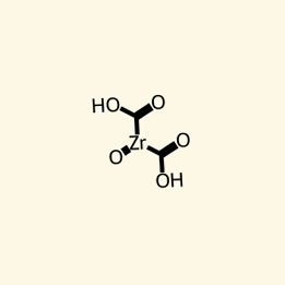 O=[C](O)[Zr](=[O])[C](=O)O